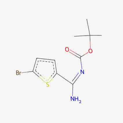 CC(C)(C)OC(=O)/N=C(/N)c1ccc(Br)s1